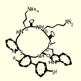 CN1C(=O)[C@H](CCCCN)NC(=O)[C@H](CCCN)NCc2cccnc2Sc2c(F)ccc(-c3ccc(S)cc3)c2CNC(=O)[C@@H]1Cc1c[nH]c2ccccc12